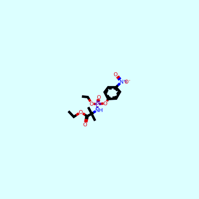 CCOC(=O)C(C)(C)NP(=O)(OCC)Oc1ccc([N+](=O)[O-])cc1